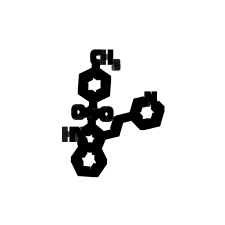 Cc1ccc(S(=O)(=O)c2[nH]c3ccccc3c2/C=C/c2cccnc2)cc1